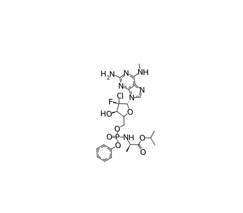 CNc1nc(N)nc2c1ncn2[C@@H]1OC(COP(=O)(N[C@H](C)C(=O)OC(C)C)Oc2ccccc2)[C@@H](O)[C@]1(F)Cl